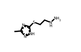 Cc1n[nH]c(SCCNN)n1